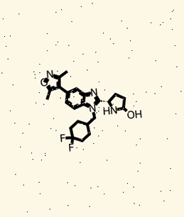 Cc1noc(C)c1-c1ccc2c(c1)nc([C@@H]1CCC(O)N1)n2CC1CCC(F)(F)CC1